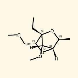 CC[C@]12O[C@@H](C)[C@H](O[C@@H]1COC)[C@@H]2OC